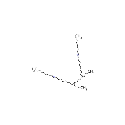 CCCCCCCC/C=C/CCCCCCCCN(CCCC)CCCCN(CCCC)CCCCCCCC/C=C/CCCCCCCC